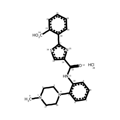 CN1CCN(c2ccccc2NC(=O)c2csc(-c3ccccc3C(=O)O)n2)CC1.Cl